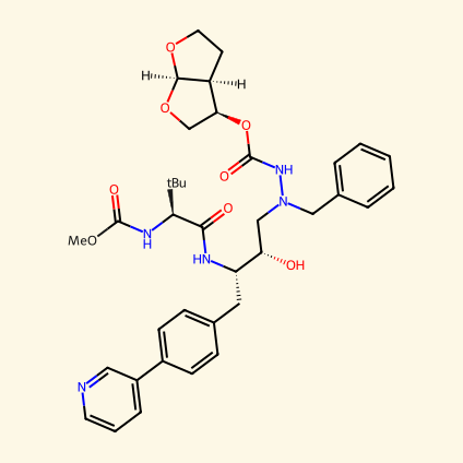 COC(=O)N[C@H](C(=O)N[C@@H](Cc1ccc(-c2cccnc2)cc1)[C@@H](O)CN(Cc1ccccc1)NC(=O)O[C@H]1CO[C@H]2OCC[C@H]21)C(C)(C)C